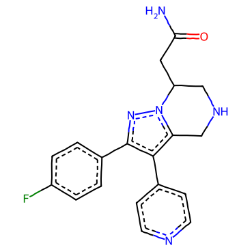 NC(=O)CC1CNCc2c(-c3ccncc3)c(-c3ccc(F)cc3)nn21